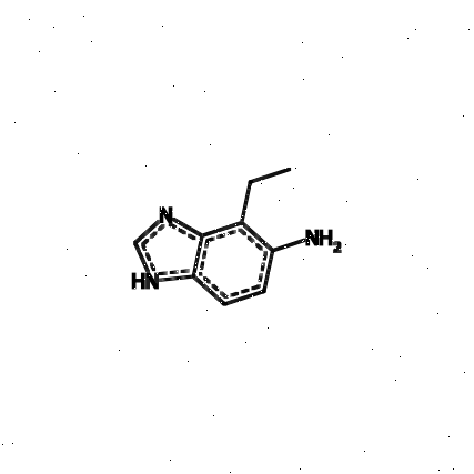 CCc1c(N)ccc2[nH]cnc12